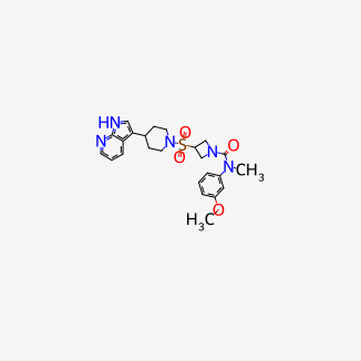 COc1cccc(N(C)C(=O)N2CC(S(=O)(=O)N3CCC(c4c[nH]c5ncccc45)CC3)C2)c1